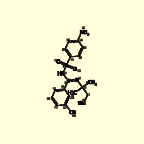 CC(C)(C)CC(C)(C)N=S(NS(=O)(=O)c1ccc([N+](=O)[O-])cc1)c1cccc(C#N)c1